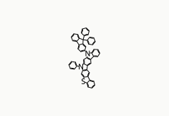 c1ccc(-n2c3cc4sc5ccccc5c4cc3c3cc4c5ccccc5n(-c5ccc6c(c5)C(c5ccccc5)(c5ccccc5)c5ccccc5-6)c4cc32)cc1